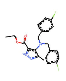 CCOC(=O)c1[nH]nc(C)c1N(Cc1ccc(F)cc1)Cc1ccc(F)cc1